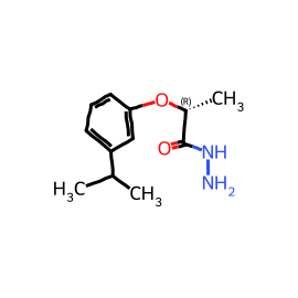 CC(C)c1cccc(O[C@H](C)C(=O)NN)c1